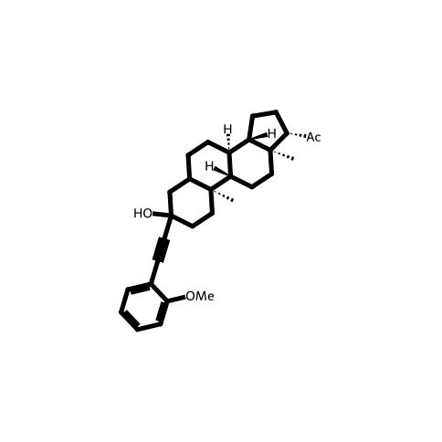 COc1ccccc1C#CC1(O)CC[C@@]2(C)C(CC[C@H]3[C@@H]4CC[C@H](C(C)=O)[C@@]4(C)CC[C@@H]32)C1